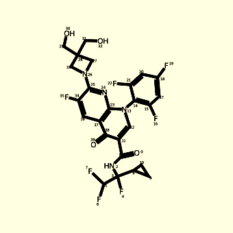 O=C(NC(F)(C(F)F)C1CC1)c1cn(-c2c(F)cc(F)cc2F)c2nc(N3CC(CO)(CO)C3)c(F)cc2c1=O